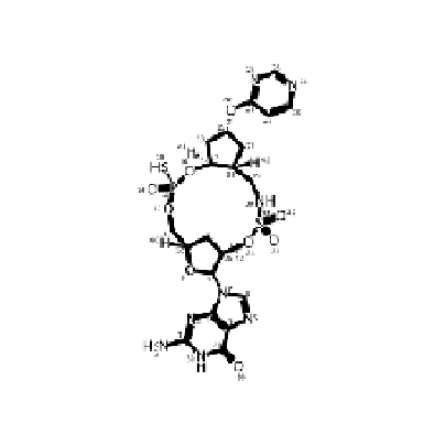 Nc1nc2c(ncn2[C@H]2O[C@@H]3CO[P@@](=O)(S)O[C@H]4C[C@H](Oc5ccncn5)C[C@@H]4CNS(=O)(=O)O[C@@H]2C3)c(=O)[nH]1